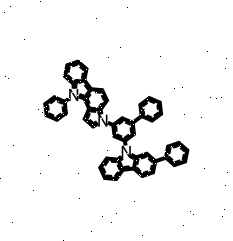 c1ccc(-c2cc(-n3ccc4c3ccc3c5ccccc5n(-c5ccccc5)c34)cc(-n3c4ccccc4c4ccc(-c5ccccc5)cc43)c2)cc1